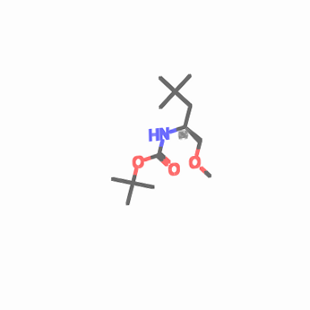 COC[C@H](CC(C)(C)C)NC(=O)OC(C)(C)C